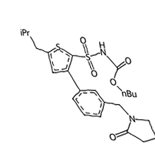 CCCCOC(=O)NS(=O)(=O)c1sc(CC(C)C)cc1-c1cccc(CN2CCCC2=O)c1